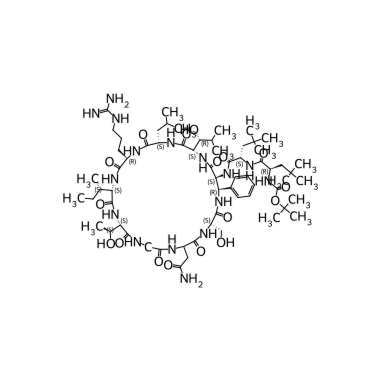 CC[C@H](C)[C@@H]1NC(=O)[C@@H](CCCNC(=N)N)NC(=O)[C@H](CC(C)C)NC(=O)[C@H]([C@H](O)C(C)C)NC(=O)[C@@H](NC(=O)[C@H](CC(C)(C)C)NC(=O)[C@@H](CC(C)(C)C)NC(=O)OC(C)(C)C)[C@@H](c2ccccc2)NC(=O)[C@H](CO)NC(=O)C(CC(N)=O)NC(=O)CNC(=O)[C@H]([C@H](C)O)NC1=O